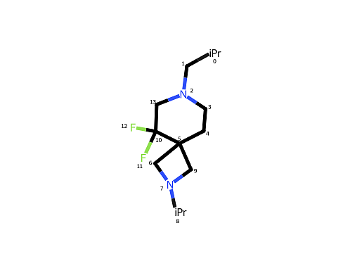 CC(C)CN1CCC2(CN(C(C)C)C2)C(F)(F)C1